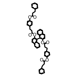 O=C(CCc1ccccc1)Oc1ccc(CCC(=O)Oc2ccc3ccccc3c2-c2c(OC(=O)CCc3ccc(OC(=O)CCc4ccccc4)cc3)ccc3ccccc23)cc1